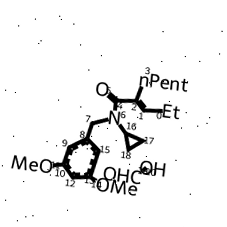 CCC=C(CCCCC)C(=O)N(Cc1cc(OC)cc(OC)c1)C1CC1.O=CO